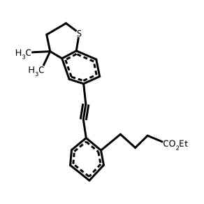 CCOC(=O)CCCc1ccccc1C#Cc1ccc2c(c1)C(C)(C)CCS2